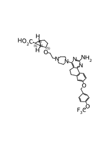 Nc1nc2c(c(N3CCN(CCO[C@H]4CC[C@H]5[C@H](C(=O)O)[C@H]54)CC3)n1)CCc1cc(OCc3ccc(OC(F)(F)F)cc3)ccc1-2